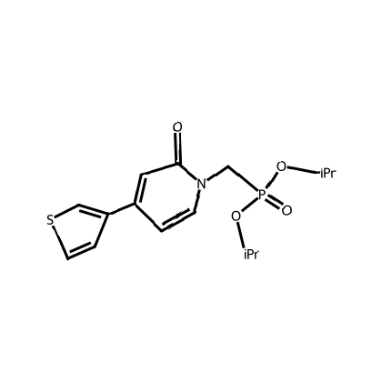 CC(C)OP(=O)(Cn1ccc(-c2ccsc2)cc1=O)OC(C)C